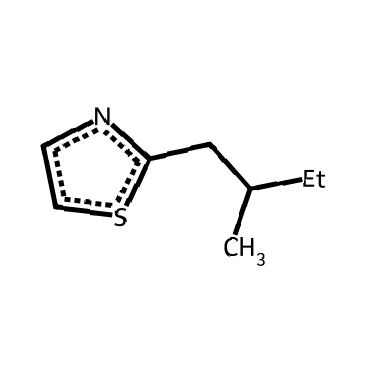 CCC(C)Cc1nccs1